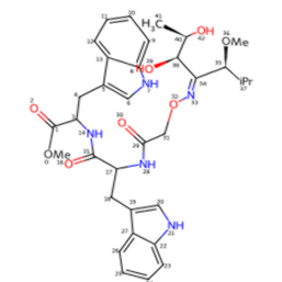 COC(=O)C(Cc1c[nH]c2ccccc12)NC(=O)C(Cc1c[nH]c2ccccc12)NC(=O)CO/N=C(/[C@@H](OC)C(C)C)[C@@H](O)[C@@H](C)O